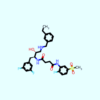 CCc1cccc(CNC[C@@H](O)[C@H](Cc2cc(F)cc(F)c2)NC(=O)CCC(=O)Nc2cc(S(C)(=O)=O)ccc2F)c1